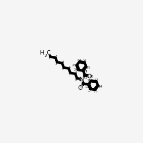 CCCCCCCCCCN(C(=O)c1ccccc1)C(=O)c1ccccc1